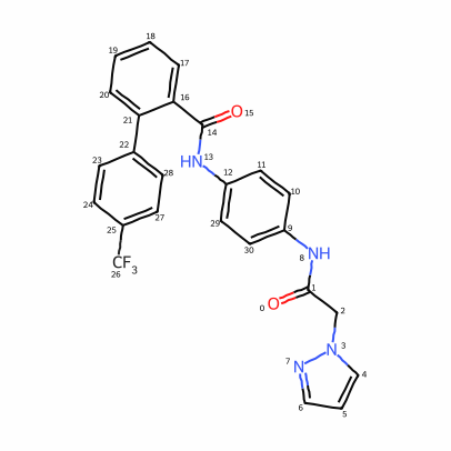 O=C(Cn1cccn1)Nc1ccc(NC(=O)c2ccccc2-c2ccc(C(F)(F)F)cc2)cc1